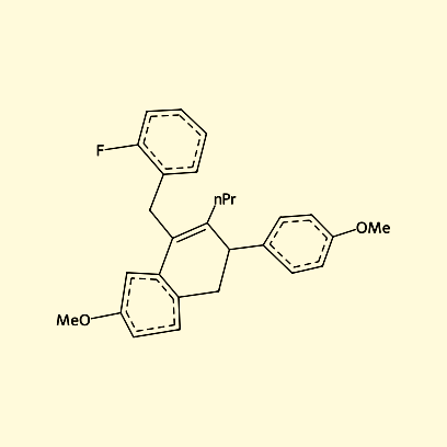 CCCC1=C(Cc2ccccc2F)c2cc(OC)ccc2CC1c1ccc(OC)cc1